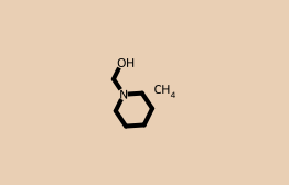 C.OCN1CCCCC1